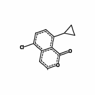 O=c1o[c]cc2c(Cl)ccc(C3CC3)c12